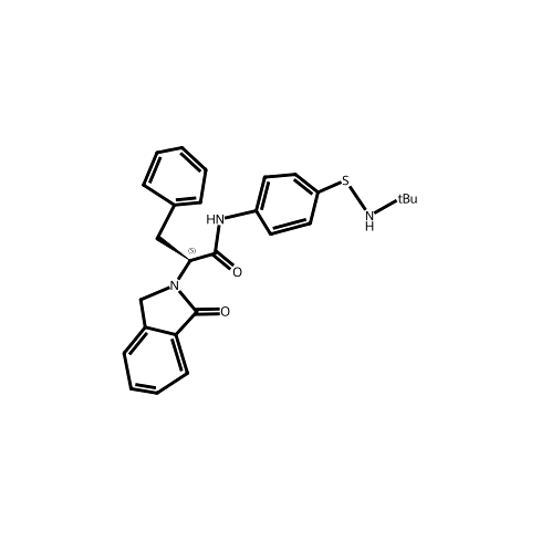 CC(C)(C)NSc1ccc(NC(=O)[C@H](Cc2ccccc2)N2Cc3ccccc3C2=O)cc1